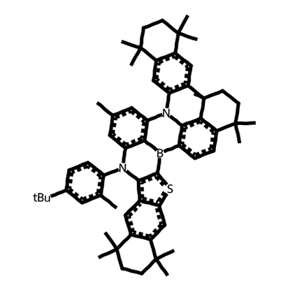 Cc1cc2c3c(c1)N(c1ccc(C(C)(C)C)cc1C)c1c(sc4cc5c(cc14)C(C)(C)CCC5(C)C)B3c1ccc3c4c1N2c1cc2c(cc1C4(C)CCC3(C)C)C(C)(C)CCC2(C)C